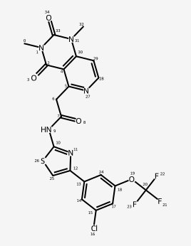 Cn1c(=O)c2c(CC(=O)Nc3nc(-c4cc(Cl)cc(OC(F)(F)F)c4)cs3)nccc2n(C)c1=O